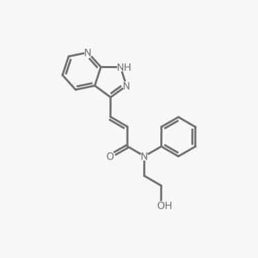 O=C(/C=C/c1n[nH]c2ncccc12)N(CCO)c1ccccc1